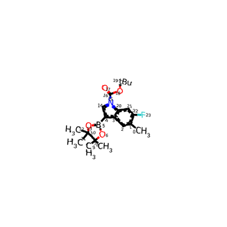 Cc1cc2c(B3OC(C)(C)C(C)(C)O3)cn(C(=O)OC(C)(C)C)c2cc1F